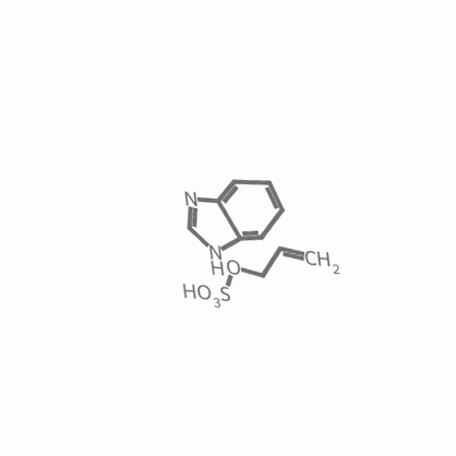 C=CCOS(=O)(=O)O.c1ccc2[nH]cnc2c1